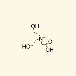 C[N+](CCO)(CCO)CC(=O)O